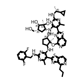 CCCc1nccc2sc(-c3c(C)nc(NCc4c(F)cccc4F)nc3NC3CC[C@@H](O)[C@@]3(C)Oc3nccc4sc(-c5c(C)nc(N[C@H](C)C6CC6)nc5N[C@@H]5C[C@H](CO)[C@@H](O)[C@@]5(C)O)nc34)nc12